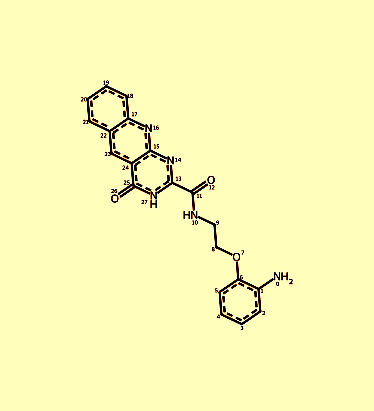 Nc1ccccc1OCCNC(=O)c1nc2nc3ccccc3cc2c(=O)[nH]1